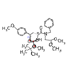 COC(=O)/C=C(\C[C@@H](NC(=O)OC(C)(C)C)C(=O)N(Cc1ccccc1)CC(OC)OC)c1ccc(OC)cc1